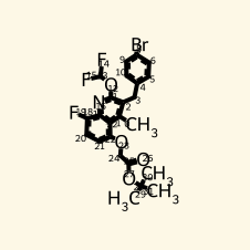 Cc1c(Cc2ccc(Br)cc2)c(OC(F)F)nc2c(F)ccc(OCC(=O)OC(C)(C)C)c12